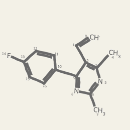 [CH]=Cc1c(C)nc(C)nc1-c1ccc(F)cc1